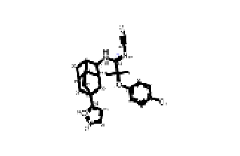 CC(C)(Oc1ccc(Cl)cc1)/C(=N/C#N)NC1C2CC3CC1CC(c1ccno1)(C3)C2